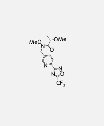 COC(C)C(=O)N(Cc1ccc(-c2noc(C(F)(F)F)n2)nc1)OC